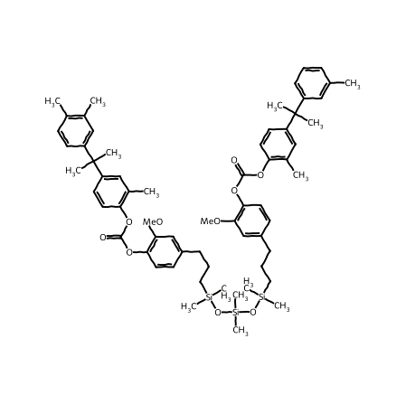 COc1cc(CCC[Si](C)(C)O[Si](C)(C)O[Si](C)(C)CCCc2ccc(OC(=O)Oc3ccc(C(C)(C)c4ccc(C)c(C)c4)cc3C)c(OC)c2)ccc1OC(=O)Oc1ccc(C(C)(C)c2cccc(C)c2)cc1C